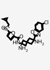 N[C@]1(NC(=O)c2ccc([S@+]([O-])CC3CC3)o2)CC2(C1)C[C@](N)(c1nc3cc(Cl)ccc3o1)C2